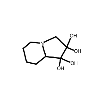 OC1(O)CN2CCCCC2C1(O)O